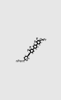 CCCCCC1CCC(C#Cc2ccc(-c3ccc(-c4ccc(OCCC)c(F)c4F)cc3)c(F)c2F)CO1